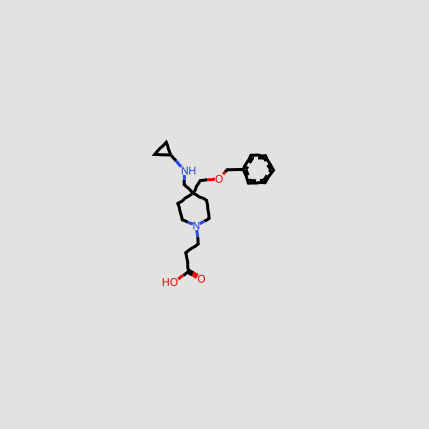 O=C(O)CCN1CCC(CNC2CC2)(COCc2ccccc2)CC1